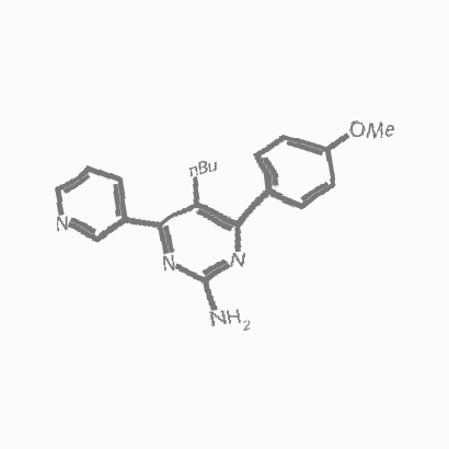 CCCCc1c(-c2ccc(OC)cc2)nc(N)nc1-c1cccnc1